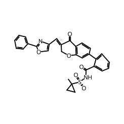 CC1(S(=O)(=O)NC(=O)c2ccccc2-c2ccc3c(c2)OC/C(=C\c2coc(-c4ccccc4)n2)C3=O)CC1